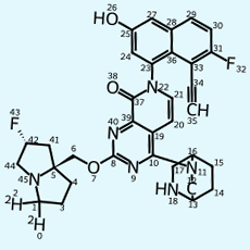 [2H]C1([2H])CC[C@@]2(COc3nc(N4CC5CCC4CN5)c4ccn(-c5cc(O)cc6ccc(F)c(C#C)c56)c(=O)c4n3)C[C@@H](F)CN12